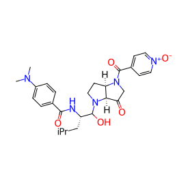 CC(C)C[C@H](NC(=O)c1ccc(N(C)C)cc1)C(O)N1CC[C@@H]2[C@H]1C(=O)CN2C(=O)c1cc[n+]([O-])cc1